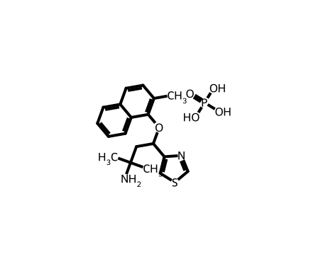 Cc1ccc2ccccc2c1OC(CC(C)(C)N)c1cscn1.O=P(O)(O)O